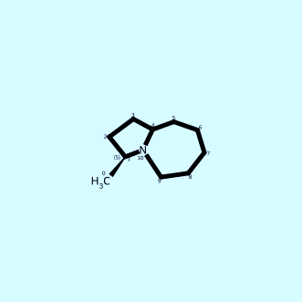 C[C@H]1CCC2CCCCCN21